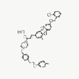 Cc1ccc(OCCc2ccc(CN3CCN(C(=O)/C=C/c4cc(C)c(Oc5ccc(OCc6ccccc6Cl)cn5)c(Cl)c4)CC3)cc2)cc1.Cl